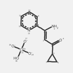 NC(=CC(=O)C1CC1)c1ccccn1.[O-][Cl+3]([O-])([O-])O